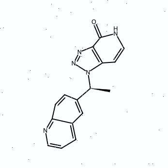 C[C@@H](c1ccc2ncccc2c1)n1nnc2c(=O)[nH]ccc21